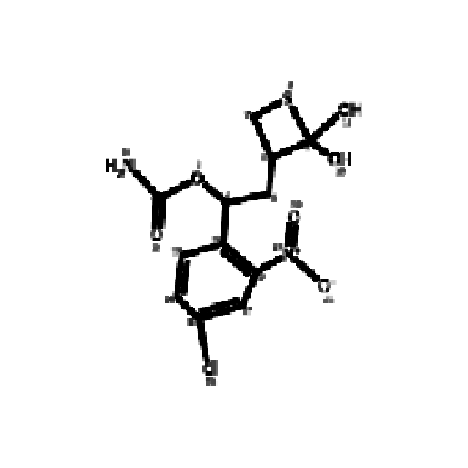 NC(=O)OC(CC1CSC1(O)O)c1ccc(Cl)cc1[N+](=O)[O-]